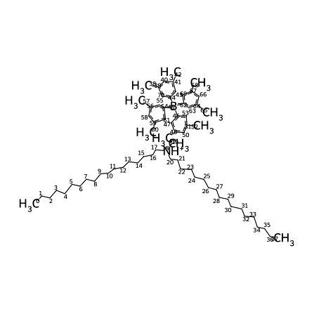 CCCCCCCCCCCCCCCCCC[NH+](C)CCCCCCCCCCCCCCCCCC.Cc1cc(C)cc([B-](c2cc(C)cc(C)c2)(c2cc(C)cc(C)c2)c2cc(C)cc(C)c2)c1